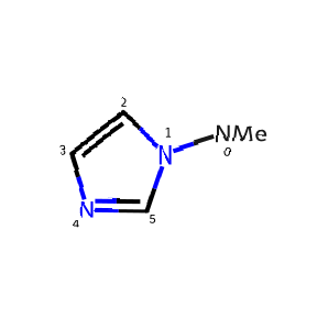 CNn1ccnc1